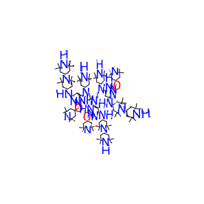 CN1C(C)(C)CC(ON2N=C(NC3CC(C)(C)N(C4CC(C)(C)NC(C)(C)C4)C(C)(C)C3)C=C(N(CCN(C3=CC(NC4CC(C)(C)N(C5CC(C)(C)NC(C)(C)C5)C(C)(C)C4)=NN(OC4CC(C)(C)N(C)C(C)(C)C4)N3)C3CC(C)(C)NC(C)(C)C3)CCN(C3=CC(NC4CC(C)(C)N(C5CC(C)(C)NC(C)(C)C5)C(C)(C)C4)=NN(OC4CC(C)(C)N(C)C(C)(C)C4)N3)C3CC(C)(C)NC(C)(C)C3)N2)CC1(C)C